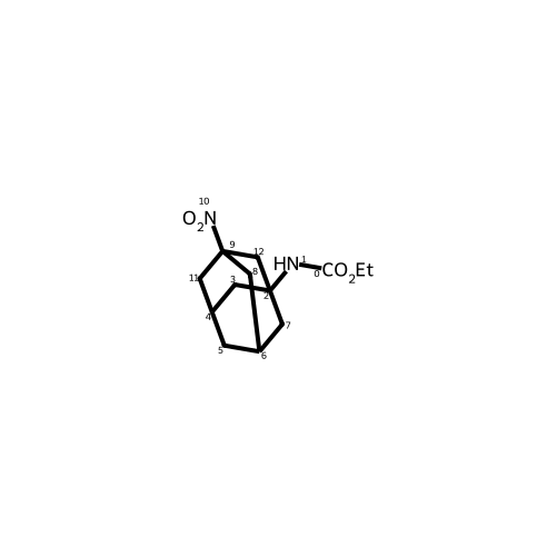 CCOC(=O)NC12CC3CC(C1)CC([N+](=O)[O-])(C3)C2